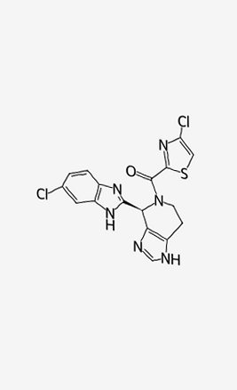 O=C(c1nc(Cl)cs1)N1CCc2[nH]cnc2[C@H]1c1nc2ccc(Cl)cc2[nH]1